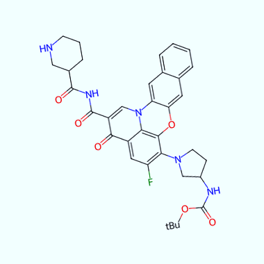 CC(C)(C)OC(=O)NC1CCN(c2c(F)cc3c(=O)c(C(=O)NC(=O)C4CCCNC4)cn4c3c2Oc2cc3ccccc3cc2-4)C1